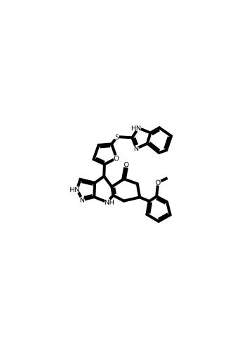 COc1ccccc1C1CC(=O)C2=C(C1)Nc1n[nH]cc1C2c1ccc(Sc2nc3ccccc3[nH]2)o1